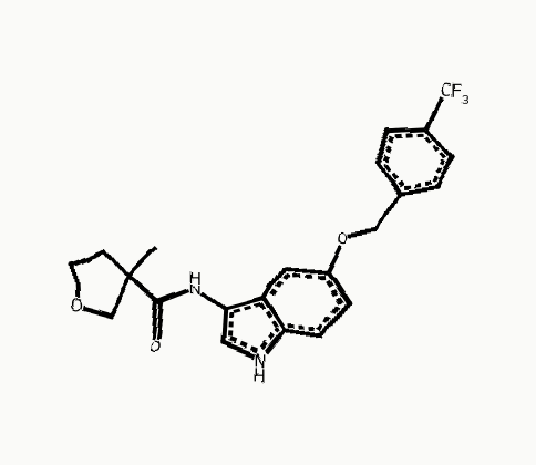 CC1(C(=O)Nc2c[nH]c3ccc(OCc4ccc(C(F)(F)F)cc4)cc23)CCOC1